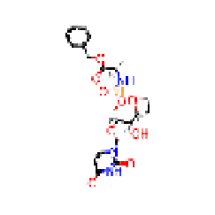 C[C@H](N[PH](=O)OC[C@@H](OCn1ccc(=O)[nH]c1=O)[C@@H](O)[C@H]1CCO1)C(=O)OCc1ccccc1